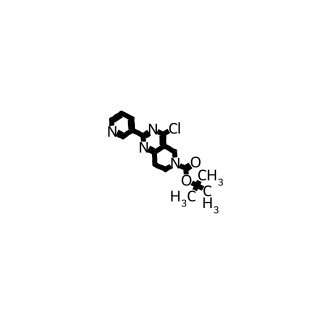 CC(C)(C)OC(=O)N1CCc2nc(-c3cccnc3)nc(Cl)c2C1